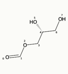 O=COC[C@H](O)CO